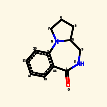 O=C1NCC2CCCN2c2ccccc21